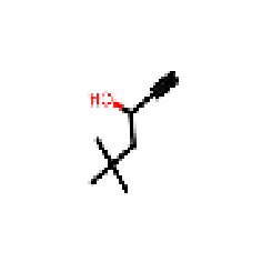 C#CC(O)CC(C)(C)C